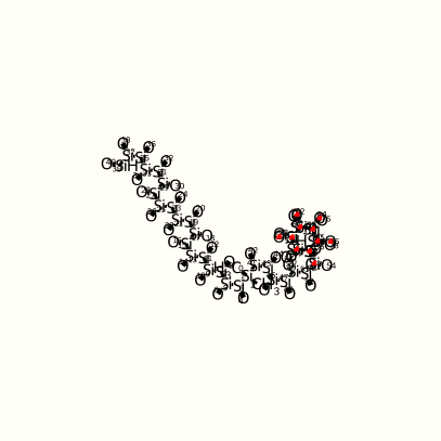 C[Si](C)([Si](=O)[Si](=O)[Si](=O)[Si](=O)[Si](=O)[Si](=O)[Si](=O)[Si](=O)[Si](=O)[Si](=O)[Si](=O)[Si](=O)[Si](=O)[Si](=O)[Si](=O)[Si](=O)[Si](=O)[Si](=O)[SiH]=O)[Si](=O)[Si](=O)[Si](=O)[Si](=O)[Si](=O)[Si](=O)[Si](=O)[Si](=O)[Si](=O)[Si](=O)[Si](=O)[Si](=O)[Si](=O)[Si](=O)[Si](=O)[Si](=O)[Si](=O)[Si](=O)[SiH]=O